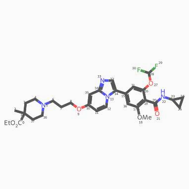 CCOC(=O)C1(C)CCN(CCCOc2ccn3c(-c4cc(OC)c(C(=O)NC5CC5)c(OC(F)F)c4)cnc3c2)CC1